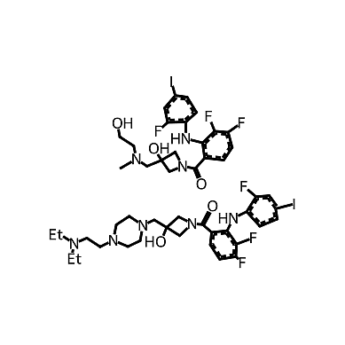 CCN(CC)CCN1CCN(CC2(O)CN(C(=O)c3ccc(F)c(F)c3Nc3ccc(I)cc3F)C2)CC1.CN(CCO)CC1(O)CN(C(=O)c2ccc(F)c(F)c2Nc2ccc(I)cc2F)C1